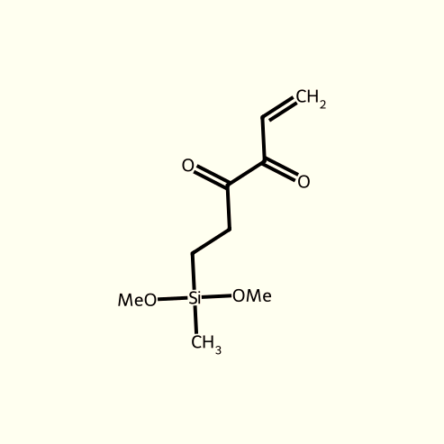 C=CC(=O)C(=O)CC[Si](C)(OC)OC